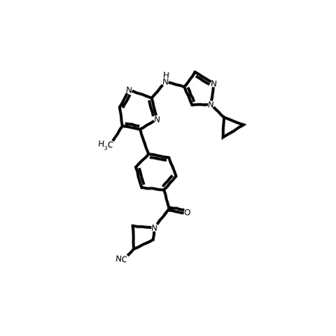 Cc1cnc(Nc2cnn(C3CC3)c2)nc1-c1ccc(C(=O)N2CC(C#N)C2)cc1